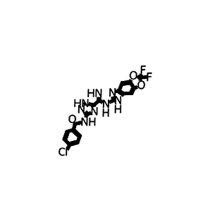 N=C(Nc1nc2cc3c(cc2[nH]1)OC(F)(F)O3)c1nc(NC(=O)c2ccc(Cl)cc2)n[nH]1